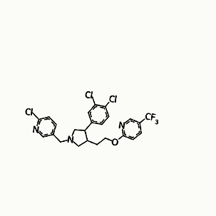 FC(F)(F)c1ccc(OCCC2CN(Cc3ccc(Cl)nc3)CC2c2ccc(Cl)c(Cl)c2)nc1